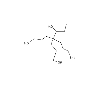 CCC(O)C(CCCO)(CCCO)CCCO